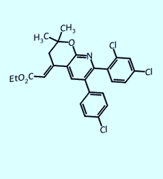 CCOC(=O)C=C1CC(C)(C)Oc2nc(-c3ccc(Cl)cc3Cl)c(-c3ccc(Cl)cc3)cc21